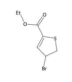 CCOC(=O)C1=CC(Br)CS1